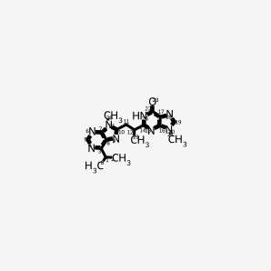 CC(C)c1ncnc2c1nc(CC(C)c1nc3c(ncn3C)c(=O)[nH]1)n2C